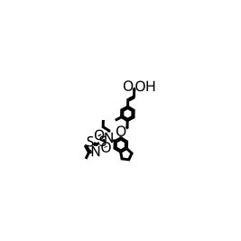 CCCN(c1cc2c(cc1OCc1ccc(C=CC(=O)O)cc1C)CCC2)S(=O)(=O)c1nc(C)cs1